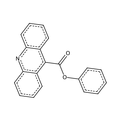 O=C(Oc1ccccc1)c1c2ccccc2nc2ccccc12